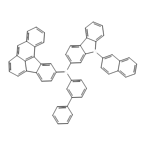 c1ccc(-c2cccc(N(c3ccc4c(c3)-c3c5ccccc5cc5cccc-4c35)c3ccc4c5ccccc5n(-c5ccc6ccccc6c5)c4c3)c2)cc1